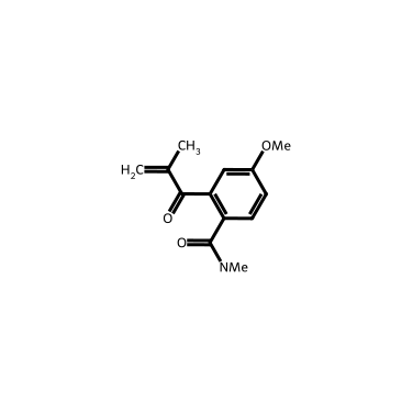 C=C(C)C(=O)c1cc(OC)ccc1C(=O)NC